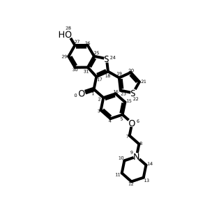 O=C(c1ccc(OCCN2CCCCC2)cc1)c1c(-c2ccsc2)sc2cc(O)ccc12